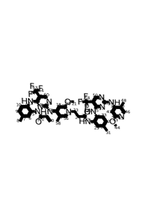 C=CC(=O)Nc1cc(C)ccc1Nc1nc(/N=c2\cc(OC)n(CCC(=O)Nc3cc(C)ccc3Nc3nc(Nc4cc(OC)ncc4C)ncc3C(F)(F)F)cc2C)ncc1C(F)(F)F